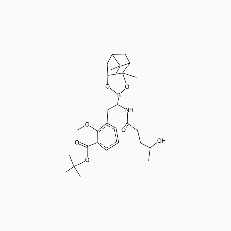 COc1c(CC(NC(=O)CCC(C)O)B2OC3CC4CC(C4(C)C)C3(C)O2)cccc1C(=O)OC(C)(C)C